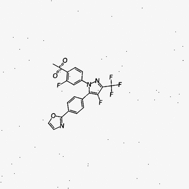 CS(=O)(=O)c1ccc(-n2nc(C(F)(F)F)c(F)c2-c2ccc(-c3ncco3)cc2)cc1F